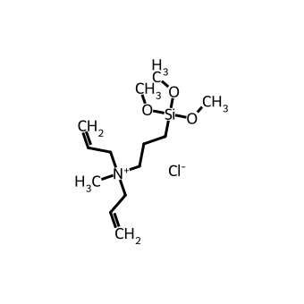 C=CC[N+](C)(CC=C)CCC[Si](OC)(OC)OC.[Cl-]